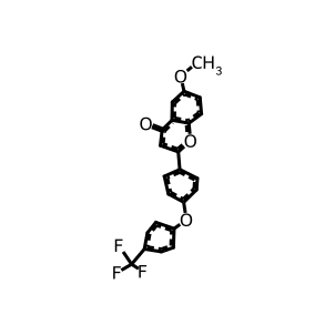 COc1ccc2oc(-c3ccc(Oc4ccc(C(F)(F)F)cc4)cc3)cc(=O)c2c1